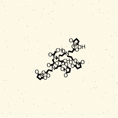 C#CC(=O)N(CCC(=O)N(CCC(=O)ON1C(=O)CCC1=O)CCC(=O)ON1C(=O)CCC1=O)N(CCC(=O)N(CCC(=O)ON1C(=O)CCC1=O)CCC(=O)ON1C(=O)CCC1O)C(=O)C#C